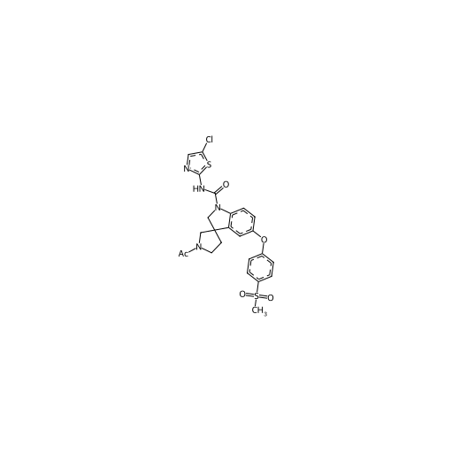 CC(=O)N1CCC2(C1)CN(C(=O)Nc1ncc(Cl)s1)c1ccc(Oc3ccc(S(C)(=O)=O)cc3)cc12